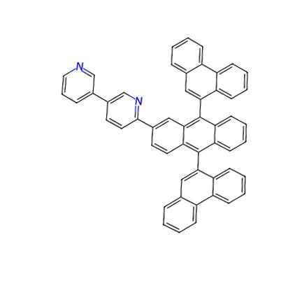 c1cncc(-c2ccc(-c3ccc4c(-c5cc6ccccc6c6ccccc56)c5ccccc5c(-c5cc6ccccc6c6ccccc56)c4c3)nc2)c1